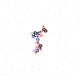 COc1cc(OCCCc2c(C(=O)O)n(CCN3CCN(C(=O)COc4cccc5c4C(=O)N(C4CCC(=O)NC4=O)C5=O)CC3)c3c(-c4c(C)nn(C)c4C)c(Cl)ccc23)c2ccccc2c1